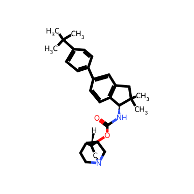 CC(C)(C)c1ccc(-c2ccc3c(c2)CC(C)(C)[C@H]3NC(=O)O[C@@H]2CN3CCC2CC3)cc1